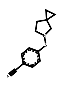 N#Cc1ccc(SN2CCC3(CC3)C2)cc1